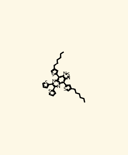 CCCCCCc1csc(-c2c3nsnc3c(-c3cc(CCCCCC)cs3)c3nc(-c4cccs4)c(-c4cccs4)nc23)c1